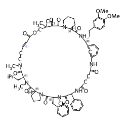 COc1ccc(CC[C@H]2NC(=O)[C@@H]3CCCCN3C(=O)C(=O)C(C)(C)COC(=O)/C=C/CCN(C)C(=O)[C@H](CC(C)C)N(C)C(=O)[C@H]3CCCN3C(=O)[C@H](Cc3ccccc3)N(C)C(=O)C(c3ccccc3)NC(=O)CCC(=O)Nc3cccc2c3)cc1OC